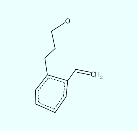 C=Cc1ccccc1CCC[O]